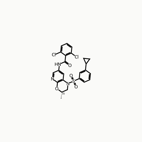 C[C@H]1CN(S(=O)(=O)c2cccc(C3CC3)c2)c2cc(NC(=O)c3c(Cl)cccc3Cl)cnc2O1